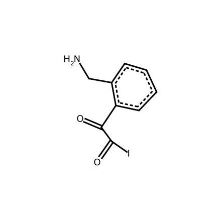 NCc1ccccc1C(=O)C(=O)I